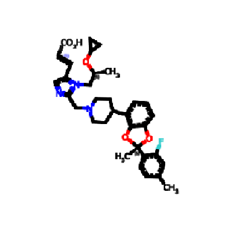 Cc1ccc([C@@]2(C)Oc3cccc(C4CCN(Cc5ncc(/C=C/C(=O)O)n5C[C@H](C)OC5CC5)CC4)c3O2)c(F)c1